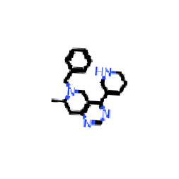 C[C@@H]1Cc2ncnc(C3=CCCNC3)c2CN1Cc1ccccc1